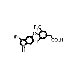 CC(C)c1c[nH]c2ccc(Oc3c(Cl)cc(CC(=O)O)cc3C(F)(F)F)cc12